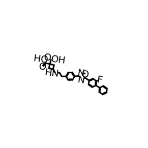 O=C(O)C1(C(=O)O)CC(NCCc2ccc(-c3noc(-c4ccc(-c5ccccc5)c(F)c4)n3)cc2)C1